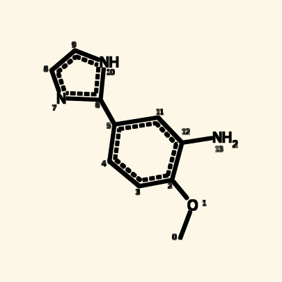 COc1ccc(-c2ncc[nH]2)cc1N